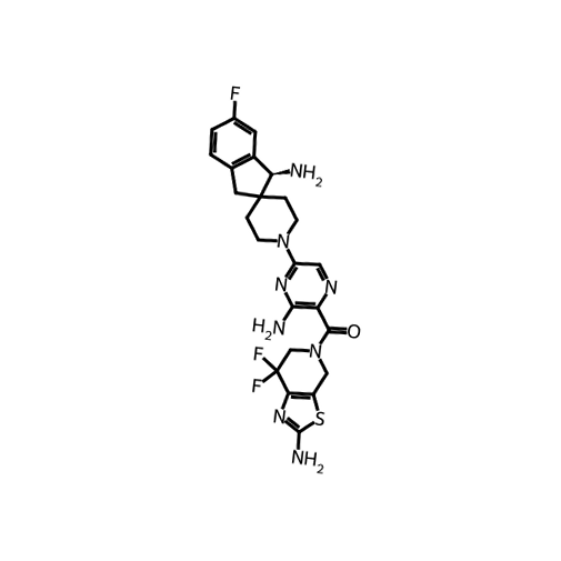 Nc1nc2c(s1)CN(C(=O)c1ncc(N3CCC4(CC3)Cc3ccc(F)cc3[C@H]4N)nc1N)CC2(F)F